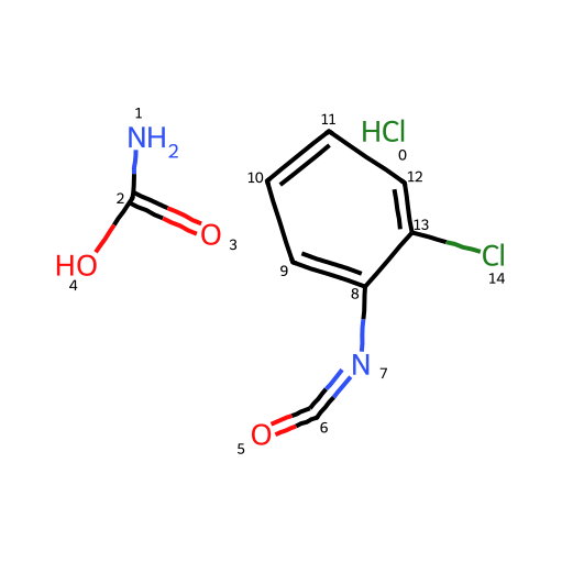 Cl.NC(=O)O.O=C=Nc1ccccc1Cl